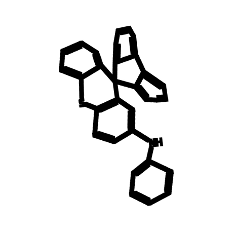 c1ccc(Nc2ccc3c(c2)C2(c4ccccc4S3)c3ccccc3-c3ccccc32)cc1